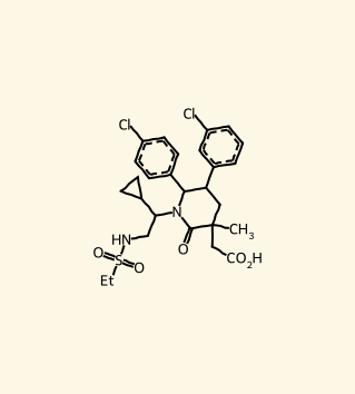 CCS(=O)(=O)NCC(C1CC1)N1C(=O)C(C)(CC(=O)O)CC(c2cccc(Cl)c2)C1c1ccc(Cl)cc1